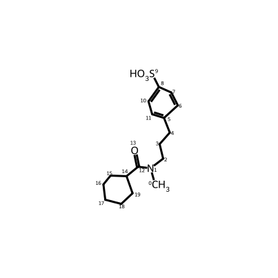 CN(CCCc1ccc(S(=O)(=O)O)cc1)C(=O)C1CCCCC1